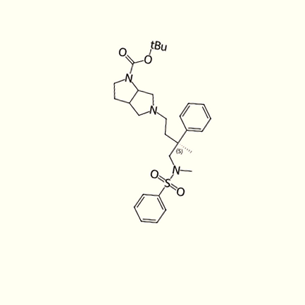 CN(C[C@@](C)(CCN1CC2CCN(C(=O)OC(C)(C)C)C2C1)c1ccccc1)S(=O)(=O)c1ccccc1